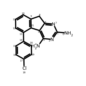 Nc1nc(N)c2c(n1)Cc1cccc(-c3ccc(Cl)cc3)c1-2